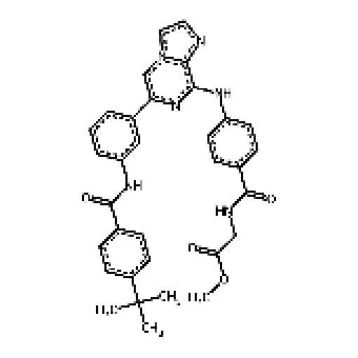 COC(=O)CNC(=O)c1ccc(Nc2nc(-c3cccc(NC(=O)c4ccc(C(C)(C)C)cc4)c3)cn3ccnc23)cc1